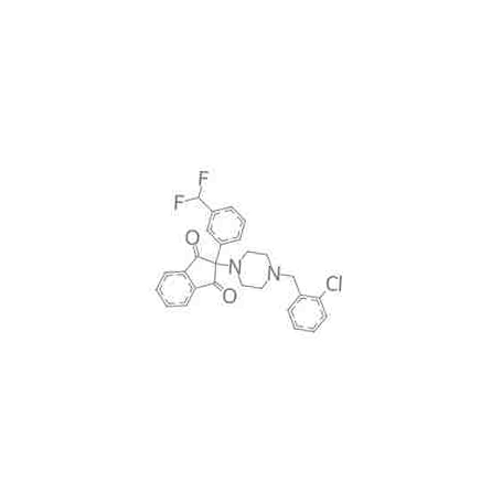 O=C1c2ccccc2C(=O)C1(c1cccc(C(F)F)c1)N1CCN(Cc2ccccc2Cl)CC1